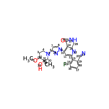 CO[C@H]1CCN(c2ccn(-c3cc(-c4c(F)cccc4C#N)nc4c3C(=O)NC4)n2)C[C@@]1(C)O